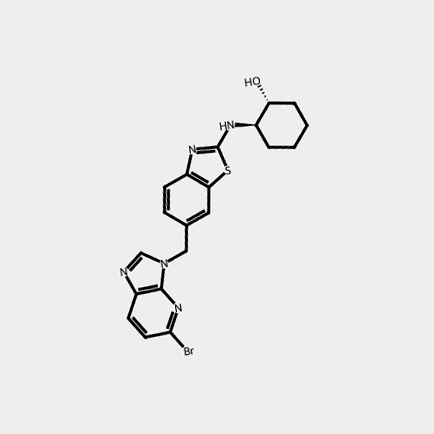 O[C@@H]1CCCC[C@H]1Nc1nc2ccc(Cn3cnc4ccc(Br)nc43)cc2s1